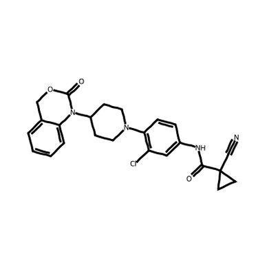 N#CC1(C(=O)Nc2ccc(N3CCC(N4C(=O)OCc5ccccc54)CC3)c(Cl)c2)CC1